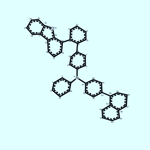 c1ccc(N(c2ccc(-c3ccccc3-c3cccc4c3oc3ccccc34)cc2)c2ccc(-c3cccc4ccccc34)cc2)cc1